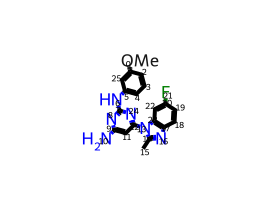 COc1cccc(Nc2nc(N)cc(-n3c(C)nc4ccc(F)cc43)n2)c1